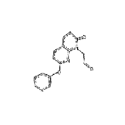 O=CCn1c(=O)ccc2ccc(Oc3cccnc3)nc21